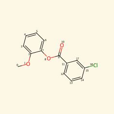 COc1ccccc1OC(=O)c1cccc(Cl)c1